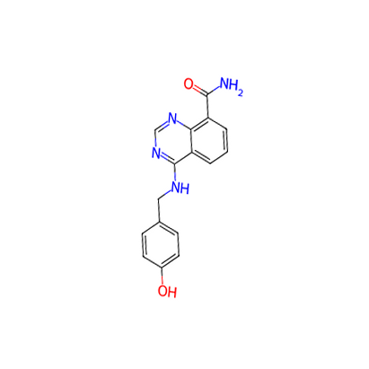 NC(=O)c1cccc2c(NCc3ccc(O)cc3)ncnc12